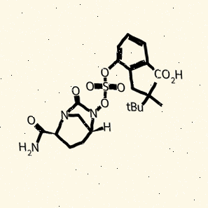 CC(C)(C)C(C)(C)Cc1c(OS(=O)(=O)ON2C(=O)N3C[C@H]2CC[C@H]3C(N)=O)cccc1C(=O)O